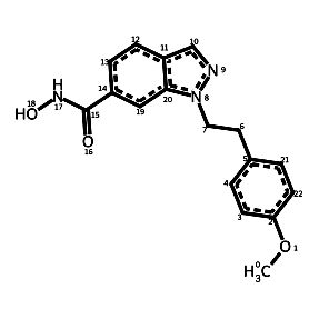 COc1ccc(CCn2ncc3ccc(C(=O)NO)cc32)cc1